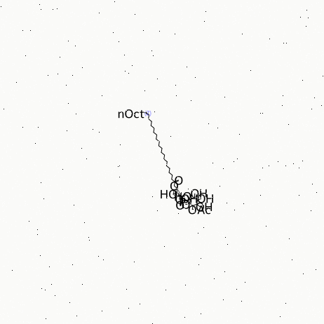 CCCCCCCC/C=C\CCCCCCCCCCCCCCCCCCCC(=O)OC[C@H](O)COP(=O)(O)OC1C(O)C(O)C(O)C(O)C1OC(C)=O